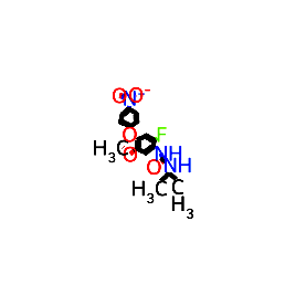 CCC(CC)NC(=O)Nc1cc(OC)c(Oc2ccc([N+](=O)[O-])cc2)cc1F